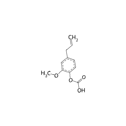 C=CCc1ccc(OC(=O)O)c(OC)c1